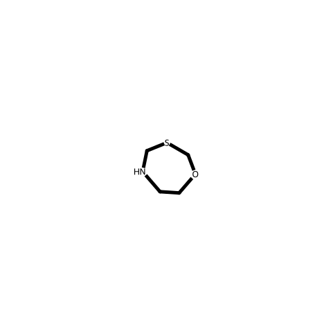 C1COCSCN1